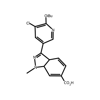 CC(C)COc1ncc(C2=NN(C)C3C=C(C(=O)O)C=CC23)cc1Cl